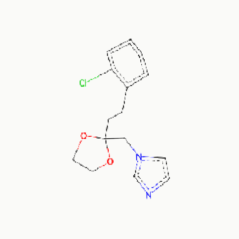 Clc1ccccc1CCC1(Cn2ccnc2)OCCO1